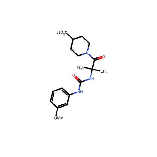 CCOC(=O)C1CCN(C(=O)C(C)(C)NC(=O)Nc2cccc(OC)c2)CC1